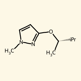 CC(C)[C@H](C)Oc1ccn(C)n1